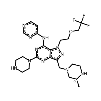 C[C@H]1CN(Cc2nn(CCOCC(F)(F)F)c3c(Nc4ccncn4)nc(N4CCNCC4)nc23)CCN1